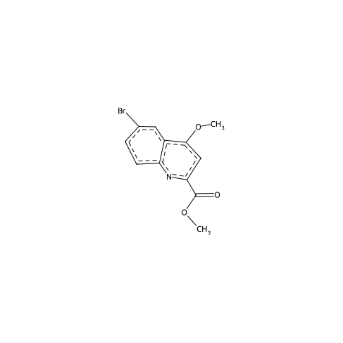 COC(=O)c1cc(OC)c2cc(Br)ccc2n1